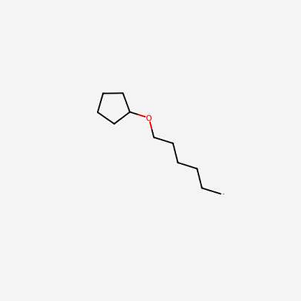 [CH2]CCCCCOC1CCCC1